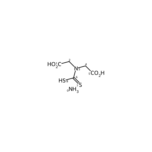 N.O=C(O)CN(CC(=O)O)C(=S)S